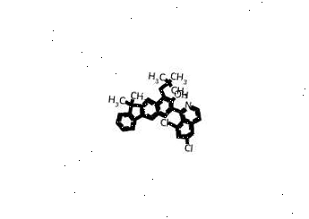 CC(C)(C)Cc1c(O)c(-c2nccc3cc(Cl)cc(Cl)c23)cc2cc3c(cc12)C(C)(C)c1ccccc1-3